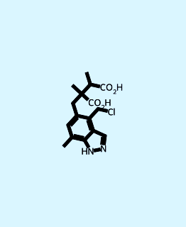 Cc1cc(CC(C)(C(=O)O)C(C)C(=O)O)c(CCl)c2cn[nH]c12